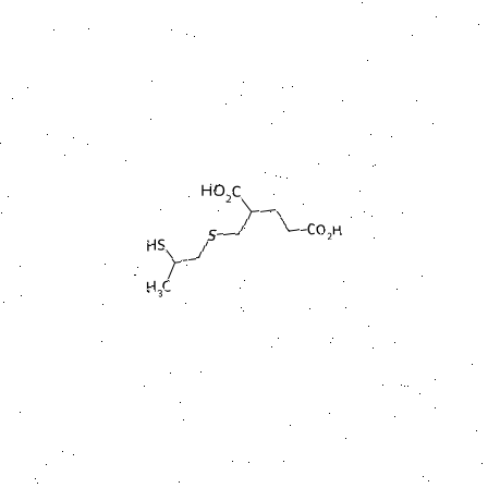 CC(S)CSCC(CCC(=O)O)C(=O)O